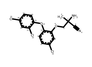 CC(N)(C#N)COc1cc(Cl)ccc1Oc1ccc(Cl)cc1Cl